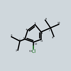 CC(C)c1ccc(C(C)(C)C)cc1Cl